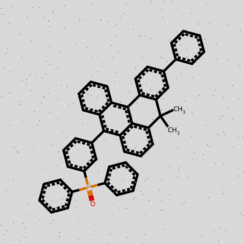 CC1(C)c2cc(-c3ccccc3)ccc2-c2c3ccccc3c(-c3cccc(P(=O)(c4ccccc4)c4ccccc4)c3)c3cccc1c23